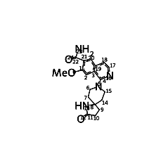 COc1cc2c(N3CCC4(CCC(=O)N4)CC3)nccc2cc1C(N)=O